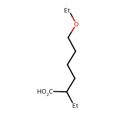 CCOCCCCC(CC)C(=O)O